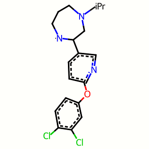 CC(C)N1CCC[N]C(c2ccc(Oc3ccc(Cl)c(Cl)c3)nc2)C1